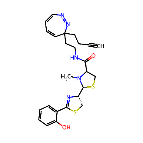 C#CCCC1(CCNC(=O)[C@H]2CS[C@@H]([C@@H]3CSC(c4ccccc4O)=N3)N2C)C=CC=CN=N1